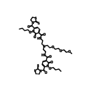 CCCCOn1c(C(=O)N2CCSC2=S)ccc(C(=O)NCCN(CCNC(=O)c2ccc(C(=O)N3CCSC3=S)n(OCCCC)c2=O)CCOCCOCCOC)c1=O